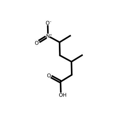 CC(CC(=O)O)CC(C)[N+](=O)[O-]